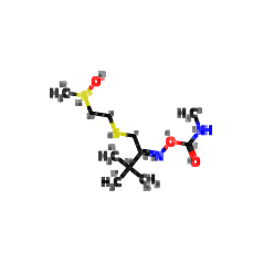 CNC(=O)ON=C(CSCC[S+](C)[O-])C(C)(C)C